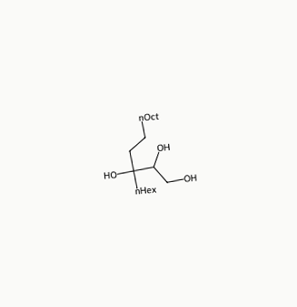 CCCCCCCCCCC(O)(CCCCCC)C(O)CO